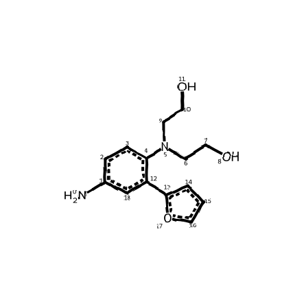 Nc1ccc(N(CCO)CCO)c(-c2ccco2)c1